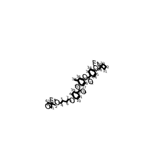 CCC1(COCCCCOc2ccc(C(=O)Oc3ccc(OC(=O)c4ccc(OCC5(CC)CCC5)cc4)cc3C)cc2)COC1